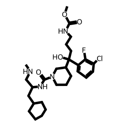 CNCC(CC1CCCCC1)NC(=O)N1CCCC(C(O)(CCCNC(=O)OC)c2cccc(Cl)c2F)C1